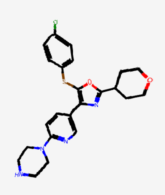 Clc1ccc(Sc2oc(C3CCOCC3)nc2-c2ccc(N3CCNCC3)nc2)cc1